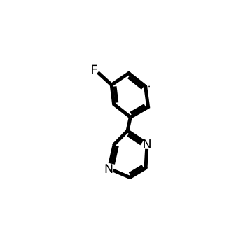 Fc1c[c]cc(-c2cnccn2)c1